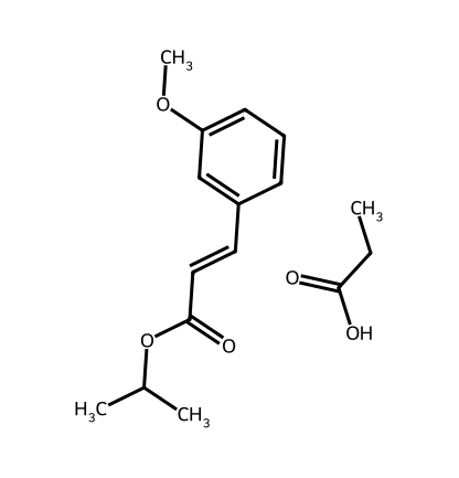 CCC(=O)O.COc1cccc(/C=C/C(=O)OC(C)C)c1